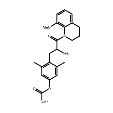 COC(=O)Oc1cc(C)c(CC(N)C(=O)N2CCCc3cccc(OC)c32)c(C)c1